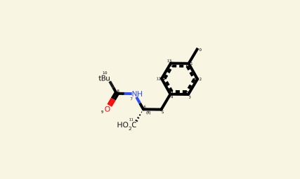 Cc1ccc(C[C@@H](NC(=O)C(C)(C)C)C(=O)O)cc1